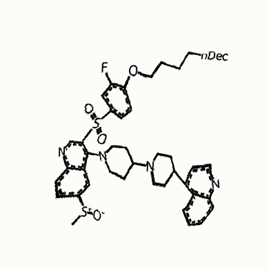 CCCCCCCCCCCCCCOc1ccc(S(=O)(=O)c2cnc3ccc([S+](C)[O-])cc3c2N2CCC(N3CCC(c4ccnc5ccccc45)CC3)CC2)cc1F